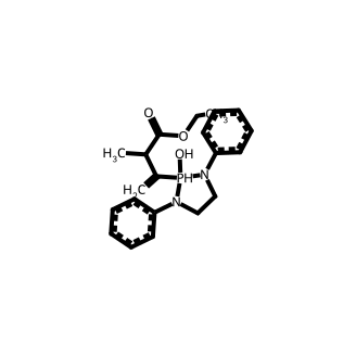 C=C(C(C)C(=O)OCC)[PH]1(O)N(c2ccccc2)CCN1c1ccccc1